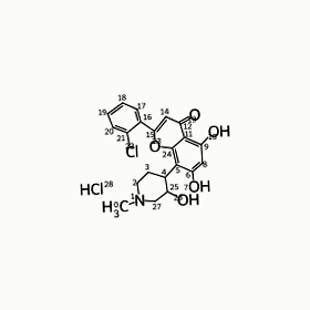 CN1CCC(c2c(O)cc(O)c3c(=O)cc(-c4ccccc4Cl)oc23)C(O)C1.Cl